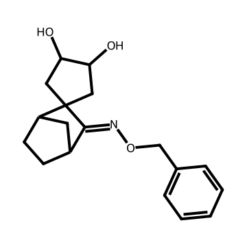 OC1CC2(CC1O)C(=NOCc1ccccc1)C1CCC2C1